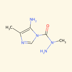 Cc1ncn(C(=O)N(C)N)c1N